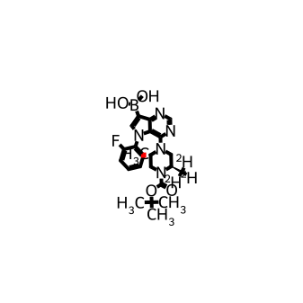 [2H]C([2H])([2H])[C@@H]1CN(c2ncnc3c(B(O)O)cn(-c4ccccc4F)c23)[C@@H](C)CN1C(=O)OC(C)(C)C